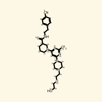 N#Cc1ccc(CCNC(=O)C2CCCN(c3cc(N4CCN(CCOCCO)CC4)nc(C(F)(F)F)n3)C2)cc1